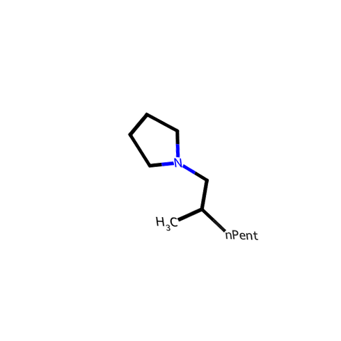 CCCCCC(C)CN1CCCC1